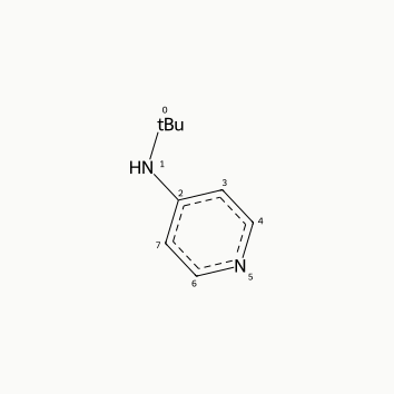 CC(C)(C)Nc1ccncc1